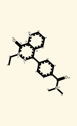 CCn1nc(-c2ccc(C(=O)N(C)C)cc2)c2cccnc2c1=O